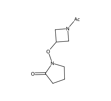 CC(=O)N1CC(ON2CCCC2=O)C1